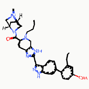 CCCN1Cc2[nH]c(-c3n[nH]c4cc(-c5ccc(O)cc5CC)ccc34)nc2CC1C(=O)N1C[C@@H]2C[C@H]1CN2C